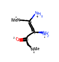 CNC(=O)/C(N)=C(/N)NC